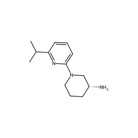 CC(C)c1cccc(N2CCC[C@@H](N)C2)n1